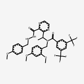 COc1ccc(CNNC(=O)c2nccnc2C(C)N(Cc2ccc(OC)cc2OC)C(=O)c2cc(C(F)(F)F)cc(C(F)(F)F)c2)cc1